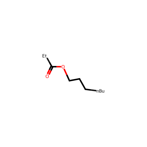 [CH2]CCCCCCOC(=O)CC